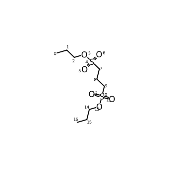 CCCOS(=O)(=O)CCCS(=O)(=O)OCCC